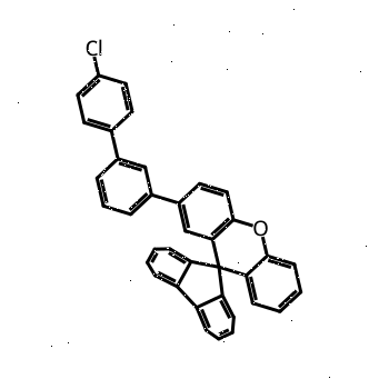 Clc1ccc(-c2cccc(-c3ccc4c(c3)C3(c5ccccc5O4)c4ccccc4-c4ccccc43)c2)cc1